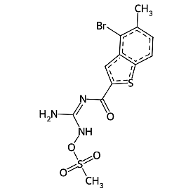 Cc1ccc2sc(C(=O)N=C(N)NOS(C)(=O)=O)cc2c1Br